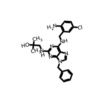 CC(C)(O)CNc1nc(NCc2cc(Cl)ccc2N)c2ncn(Cc3ccccc3)c2n1